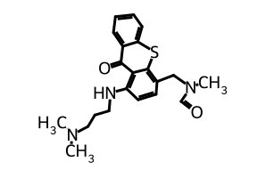 CN(C)CCCNc1ccc(CN(C)C=O)c2sc3ccccc3c(=O)c12